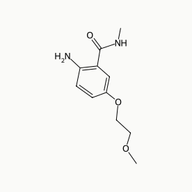 CNC(=O)c1cc(OCCOC)ccc1N